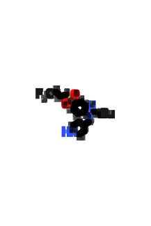 CC(C)(C)c1nc2cc(S(=O)(=O)CCCC(F)(F)F)ccc2n1CC1CCNCC1